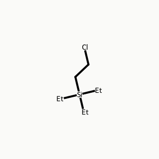 CC[Si](CC)(CC)CCCl